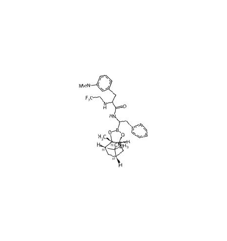 CNc1cccc(CC(NCC(F)(F)F)C(=O)NC(Cc2ccccc2)B2O[C@@H]3C[C@@H]4C[C@@H](C4(C)C)[C@]3(C)O2)c1